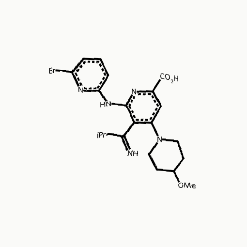 COC1CCN(c2cc(C(=O)O)nc(Nc3cccc(Br)n3)c2C(=N)C(C)C)CC1